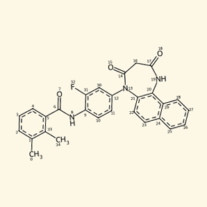 Cc1cccc(C(=O)Nc2ccc(N3C(=O)CC(=O)Nc4c3ccc3ccccc43)cc2F)c1C